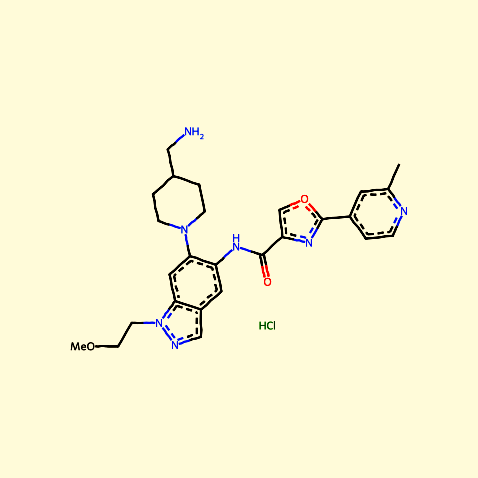 COCCn1ncc2cc(NC(=O)c3coc(-c4ccnc(C)c4)n3)c(N3CCC(CN)CC3)cc21.Cl